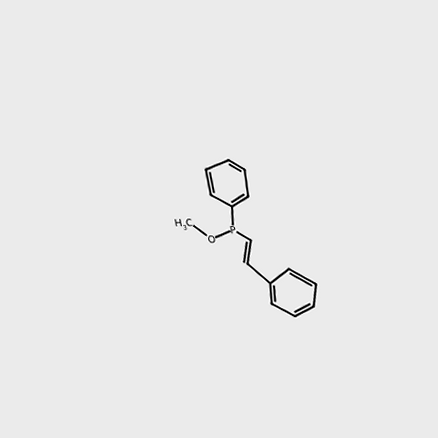 COP(C=Cc1ccccc1)c1ccccc1